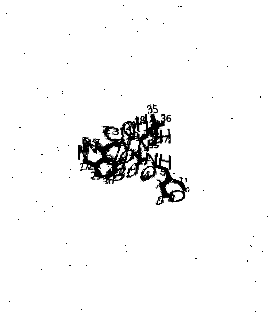 CC(C)(C)C(NC(=O)CC1CCOCC1)C(=O)N1C[C@H]2[C@@H]([C@H]1C(=O)NC(C#N)c1nncc3ccccc13)C2(C)C